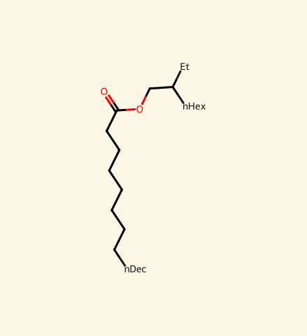 CCCCCCCCCCCCCCCCCC(=O)OCC(CC)CCCCCC